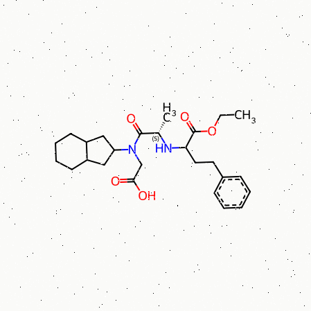 CCOC(=O)C(CCc1ccccc1)N[C@@H](C)C(=O)N(CC(=O)O)C1CC2CCCCC2C1